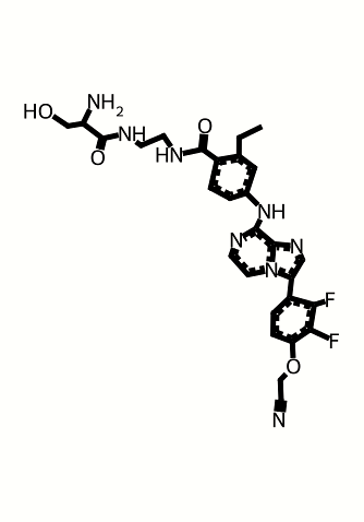 CCc1cc(Nc2nccn3c(-c4ccc(OCC#N)c(F)c4F)cnc23)ccc1C(=O)NCCNC(=O)C(N)CO